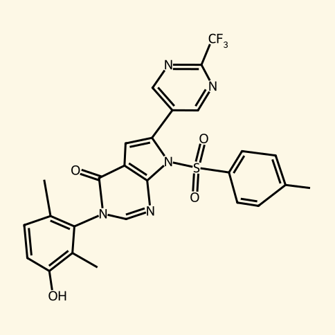 Cc1ccc(S(=O)(=O)n2c(-c3cnc(C(F)(F)F)nc3)cc3c(=O)n(-c4c(C)ccc(O)c4C)cnc32)cc1